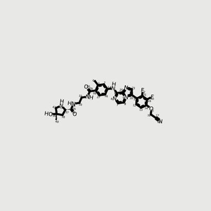 Cc1cc(Nc2nccn3c(-c4ccc(OCC#N)c(F)c4F)cnc23)ccc1C(=O)NCCNC(=O)[C@@H]1C[C@](C)(O)CN1